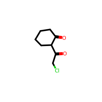 O=C(CCl)C1CCCCC1=O